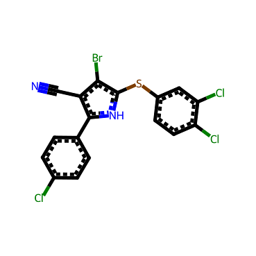 N#Cc1c(-c2ccc(Cl)cc2)[nH]c(Sc2ccc(Cl)c(Cl)c2)c1Br